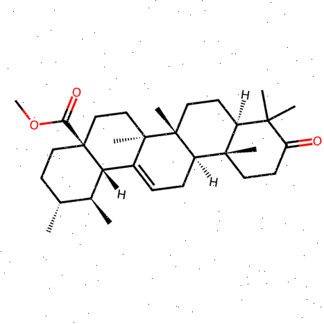 COC(=O)[C@]12CC[C@@H](C)[C@H](C)[C@H]1C1=CC[C@@H]3[C@@]4(C)CCC(=O)C(C)(C)[C@@H]4CC[C@@]3(C)[C@]1(C)CC2